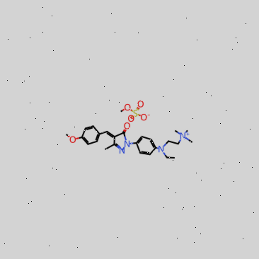 CCN(CC[N+](C)(C)C)c1ccc(N2N=C(C)/C(=C\c3ccc(OC)cc3)C2=O)cc1.COS(=O)(=O)[O-]